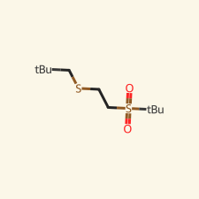 CC(C)(C)CSCCS(=O)(=O)C(C)(C)C